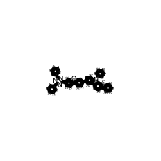 c1ccc(-c2nc(-c3ccccc3)nc(-c3ccc4c(c3)oc3cc(-c5ccc6c(c5)c5ccc7c8ccccc8sc7c5n6-c5ccccc5)ccc34)n2)cc1